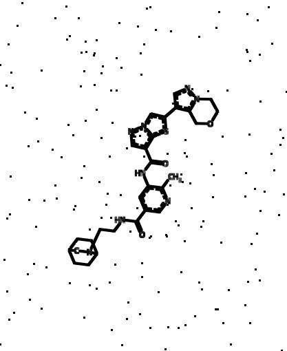 Cc1ncc(C(=O)NCCN2CC3CCC2CC3)cc1NC(=O)c1cnn2cc(-c3cnn4c3COCC4)sc12